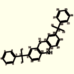 CC(C)(c1ccccc1)c1ccc2c(c1)Sc1cc(C(C)(C)c3ccccc3)ccc1N2